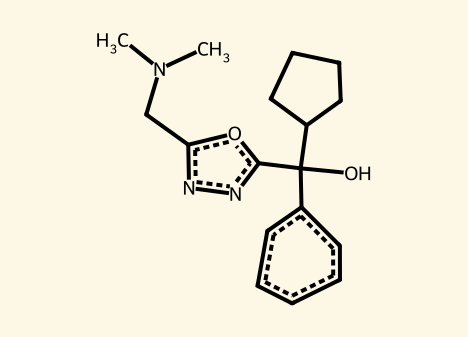 CN(C)Cc1nnc(C(O)(c2ccccc2)C2CCCC2)o1